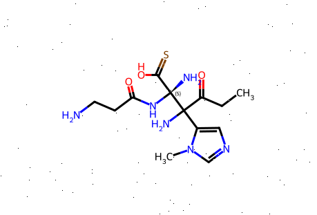 CCC(=O)C(N)(c1cncn1C)[C@](N)(NC(=O)CCN)C(O)=S